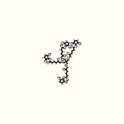 O=C(CCCC(=O)ON1C(=O)CCC1=O)COCC(COCC(=O)CCCC(=O)ON1C(=O)CCC1=O)(COCC(=O)CCCC(=O)ON1C(=O)CCC1=O)COCC(=O)CCCC(=O)ON1C(=O)CCC1=O